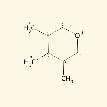 CC1COCC(C)C1C